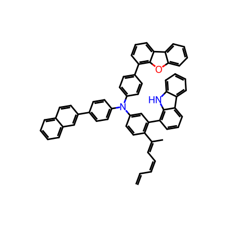 C=C/C=C\C=C(/C)c1ccc(N(c2ccc(-c3ccc4ccccc4c3)cc2)c2ccc(-c3cccc4c3oc3ccccc34)cc2)cc1-c1cccc2c1[nH]c1ccccc12